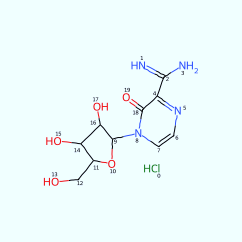 Cl.N=C(N)c1nccn(C2OC(CO)C(O)C2O)c1=O